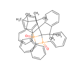 CC1(C)c2ccccc2C2(c3ccccc3C(C)(C)C2(P(=O)(c2ccccc2)c2ccccc2)P(=O)(c2ccccc2)c2ccccc2)C1(C)C